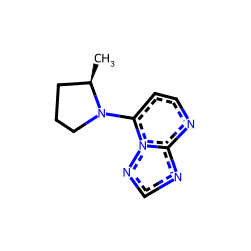 C[C@@H]1CCCN1c1ccnc2ncnn12